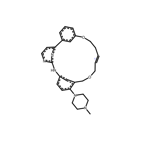 CN1CCN(c2ccc3cc2COC/C=C/CCOc2cccc(c2)-c2ccnc(n2)N3)CC1